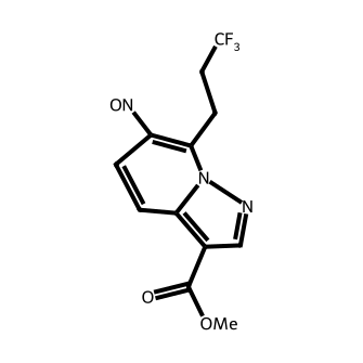 COC(=O)c1cnn2c(CCC(F)(F)F)c(N=O)ccc12